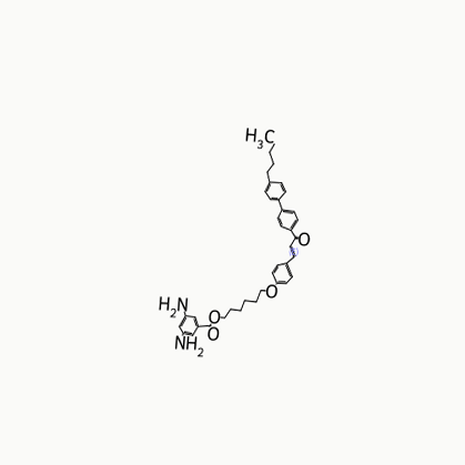 CCCCCc1ccc(-c2ccc(C(=O)/C=C/c3ccc(OCCCCCCOC(=O)c4cc(N)cc(N)c4)cc3)cc2)cc1